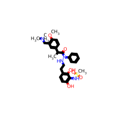 COc1ccc(C(C)C(=O)N(NCCc2ccc(O)c(NS(C)(=O)=O)c2O)c2ccccc2)cc1CN(C)C